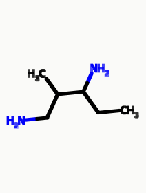 CCC(N)C(C)CN